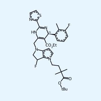 CCOC(=O)C1=C(CN2CC(F)c3c2ccn3CCC(C)(C)C(=O)OC(C)(C)C)NC(c2nccs2)=N[C@H]1c1cccc(F)c1C